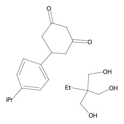 CC(C)c1ccc(C2CC(=O)CC(=O)C2)cc1.CCC(CO)(CO)CO